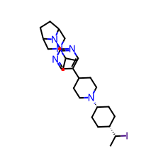 CC(C)N1CC2CCC(C1)N2c1ncc(C2CCN([C@H]3CC[C@@H](C(C)I)CC3)CC2)cn1